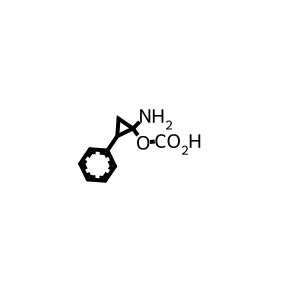 NC1(OC(=O)O)CC1c1ccccc1